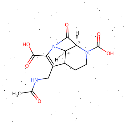 CC(=O)NCC1=C(C(=O)O)N2C(=O)[C@@H]3[C@H]2C1CCN3C(=O)O